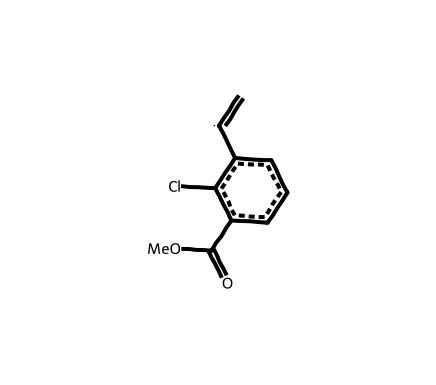 C=[C]c1cccc(C(=O)OC)c1Cl